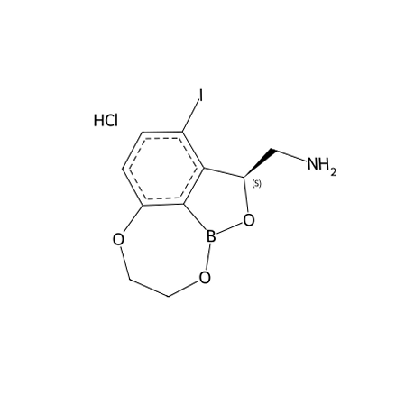 Cl.NC[C@H]1OB2OCCOc3ccc(I)c1c32